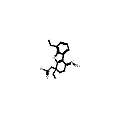 CCc1cccc2c3c([nH]c12)C(CC)(CC(=O)O)CCC3=NO